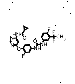 CC(F)(F)c1cc(NC(=O)Nc2ccc(Oc3cc(NC(=O)C4CC4)ncn3)c(F)c2)ccc1F